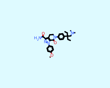 CCC(CC)(CN(C)C)c1ccc(N2CCc3c(C(N)=O)nn(-c4ccc(OC)cc4)c3C2=O)cc1